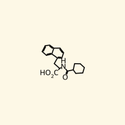 O=C(NC(Cc1cccc2ccccc12)C(=O)O)C1CCCCC1